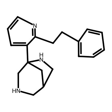 c1ccc(CCc2ncccc2C23CNCC(CN2)C3)cc1